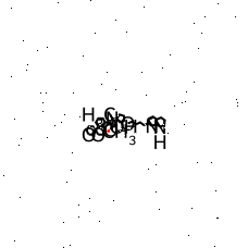 C[C@@H]1CO[C@@]2(CCCOC2)c2cccc([C@H](C(=O)O)N(C)[C@H]3CC[C@H](OCCCCc4ccc5c(n4)NCCC5)C3)c21